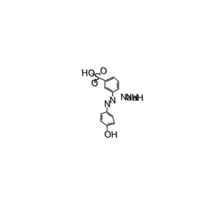 O=S(=O)(O)c1cccc(N=Nc2ccc(O)cc2)c1.[NaH].[NaH]